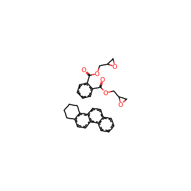 O=C(OCC1CO1)c1ccccc1C(=O)OCC1CO1.c1ccc2c(c1)ccc1c3c(ccc12)CCCC3